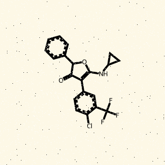 O=C1C(c2ccc(Cl)c(C(F)(F)F)c2)=C(NC2CC2)OC1c1ccccc1